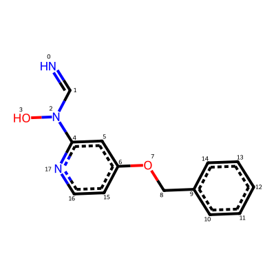 N=CN(O)c1cc(OCc2ccccc2)ccn1